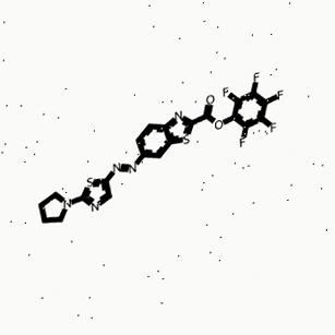 O=C(Oc1c(F)c(F)c(F)c(F)c1F)c1nc2ccc(/N=N/c3cnc(N4CCCC4)s3)cc2s1